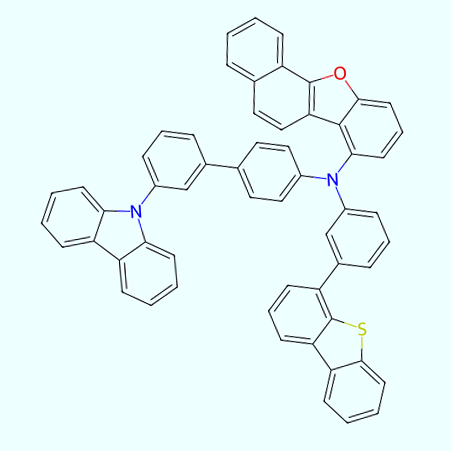 c1cc(-c2cccc3c2sc2ccccc23)cc(N(c2ccc(-c3cccc(-n4c5ccccc5c5ccccc54)c3)cc2)c2cccc3oc4c5ccccc5ccc4c23)c1